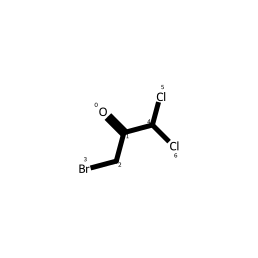 O=C(CBr)C(Cl)Cl